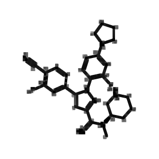 CN(C(=N)c1cc(-c2ccc(C#N)c(F)c2)n(-c2ccc(N3CCCC3)cc2F)n1)[C@@H]1CCCNC1